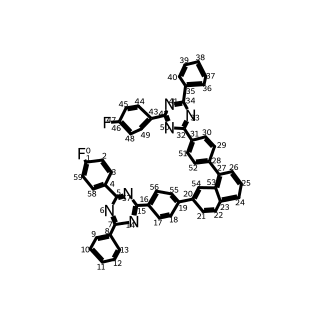 Fc1ccc(-c2nc(-c3ccccc3)nc(-c3ccc(-c4ccc5cccc(-c6ccc(-c7nc(-c8ccccc8)nc(-c8ccc(F)cc8)n7)cc6)c5c4)cc3)n2)cc1